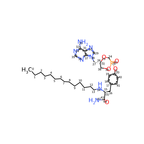 CCCCCCCCCCCCCCN[C@@H](Cc1ccc(OP2(=O)CO[C@@H](Cn3cnc4c(N)ncnc43)CO2)cc1)C(N)=O